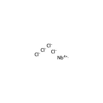 [Cl-].[Cl-].[Cl-].[Cl-].[Nb+4]